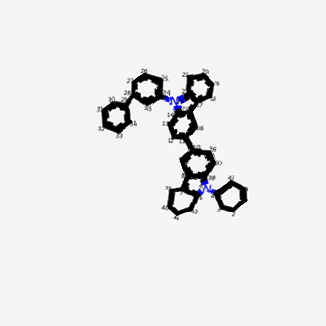 C1=CCCC(n2c3c(c4cc(-c5ccc6c(c5)c5ccccc5n6-c5cccc(-c6ccccc6)c5)ccc42)C=CCC3)=C1